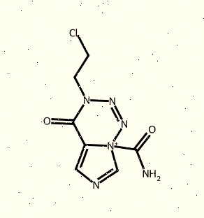 NC(=O)[N+]12C=NC=C1C(=O)N(CCCl)N=N2